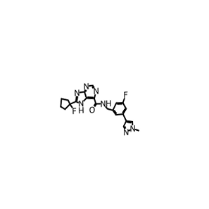 Cn1cc(-c2cc(F)cc(CNC(=O)c3ncnc4nc(C5(F)CCCC5)[nH]c34)c2)cn1